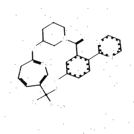 O=C(c1cc(F)ccc1-c1ncccn1)N1CCCC(OC2=NC=C(C(F)(F)F)C=CC2)C1